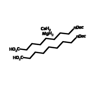 CCCCCCCCCCCCCCCCCC(=O)O.CCCCCCCCCCCCCCCCCC(=O)O.[CaH2].[MgH2]